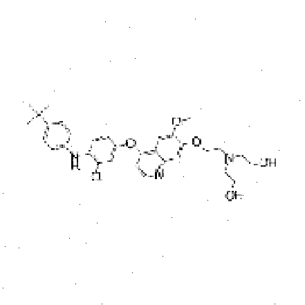 COc1cc2c(Oc3ccc(Nc4ccc(C(C)(C)C)cc4)c(Cl)c3)ccnc2cc1OCCN(CCO)CCO